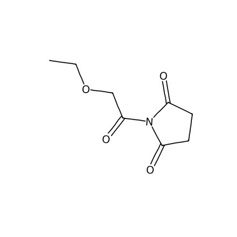 CCOCC(=O)N1C(=O)CCC1=O